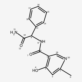 Cc1cc(O)c(C(=O)NC(C(N)=O)c2ccccc2)cn1